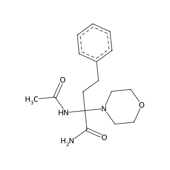 CC(=O)NC(CCc1ccccc1)(C(N)=O)N1CCOCC1